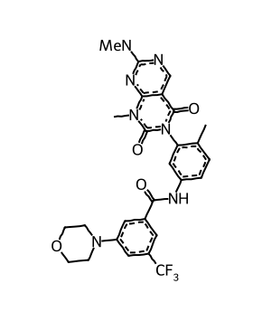 CNc1ncc2c(=O)n(-c3cc(NC(=O)c4cc(N5CCOCC5)cc(C(F)(F)F)c4)ccc3C)c(=O)n(C)c2n1